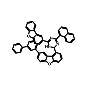 c1ccc(-c2cccc(-c3ccc4oc5cccc(C6N=C(c7cccc8ccccc78)N=C(c7ccc8oc9ccccc9c8c7)N6)c5c4c3)c2)cc1